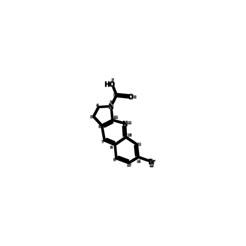 O=C(O)N1CCc2cc3ccc(Br)cc3nc21